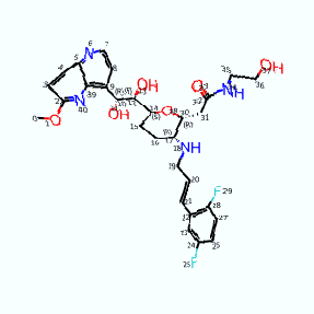 COc1ccc2nccc([C@@H](O)[C@@H](O)[C@@H]3CC[C@@H](NCC=Cc4cc(F)ccc4F)[C@@H](CC(=O)NCCO)O3)c2n1